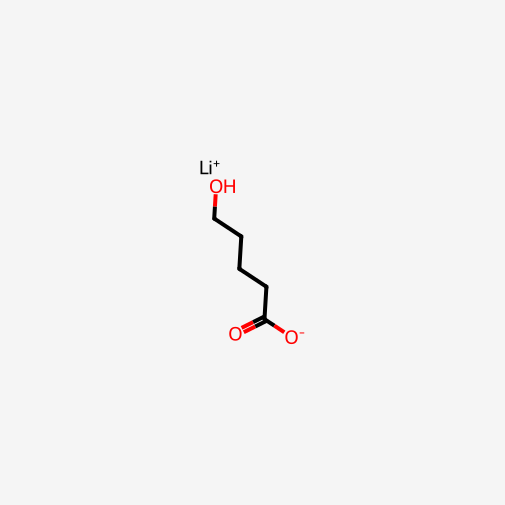 O=C([O-])CCCCO.[Li+]